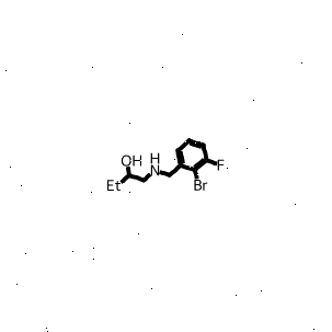 CCC(O)CNCc1cccc(F)c1Br